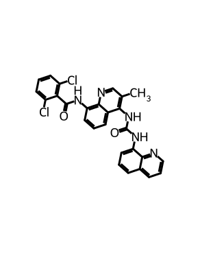 Cc1cnc2c(NC(=O)c3c(Cl)cccc3Cl)cccc2c1NC(=O)Nc1cccc2cccnc12